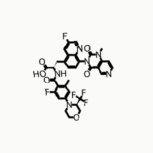 Cc1cc(N2CCOC[C@@H]2C(F)(F)F)cc(F)c1C(=O)N[C@@H](Cc1ccc(-n2c(=O)c3cnccc3n(C)c2=O)c2ncc(F)cc12)C(=O)O